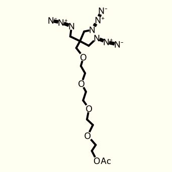 CC(=O)OCCOCCOCCOCCOCC(CN=[N+]=[N-])(CN=[N+]=[N-])CN=[N+]=[N-]